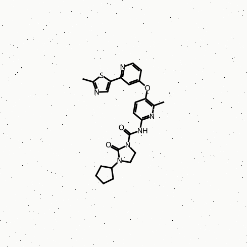 Cc1ncc(-c2cc(Oc3ccc(NC(=O)N4CCN(C5CCCC5)C4=O)nc3C)ccn2)s1